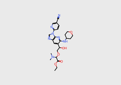 CCOC(=O)C(OCC(O)c1cc2ncn(-c3ccc(C#N)cn3)c2nc1NC1CCOCC1)N(C)C